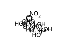 NC(CO)(CO)CO.NC(CO)(CO)CO.O=[N+]([O-])c1ccc(OP(=O)(O)O)cc1